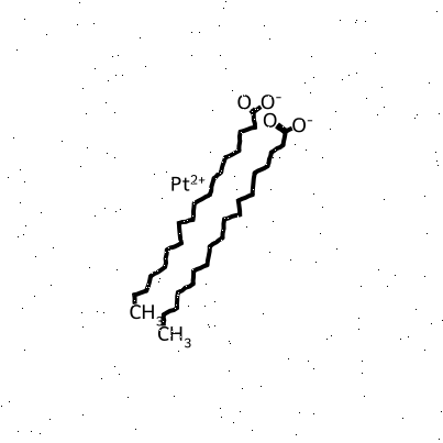 CCCCCCCCCCCCCCCCCC(=O)[O-].CCCCCCCCCCCCCCCCCC(=O)[O-].[Pt+2]